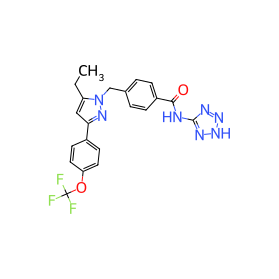 CCc1cc(-c2ccc(OC(F)(F)F)cc2)nn1Cc1ccc(C(=O)Nc2nn[nH]n2)cc1